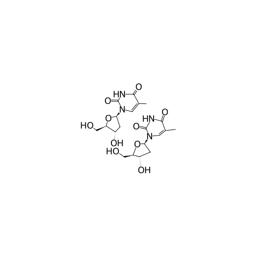 Cc1cn([C@H]2C[C@H](O)[C@@H](CO)O2)c(=O)[nH]c1=O.Cc1cn([C@H]2C[C@H](O)[C@@H](CO)O2)c(=O)[nH]c1=O